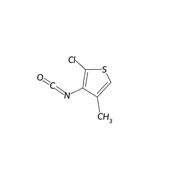 Cc1csc(Cl)c1N=C=O